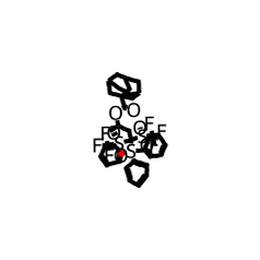 CC(CC(S(c1ccccc1)(c1ccccc1)c1ccccc1)(S(=O)(=O)C(F)(F)F)S(=O)(=O)C(F)(F)F)OC(=O)C12CC3CC(CC(C3)C1)C2